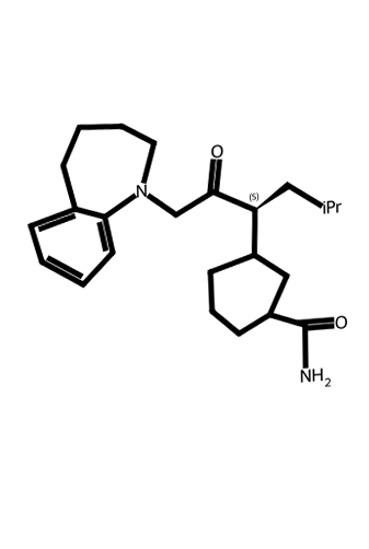 CC(C)C[C@H](C(=O)CN1CCCCc2ccccc21)C1CCCC(C(N)=O)C1